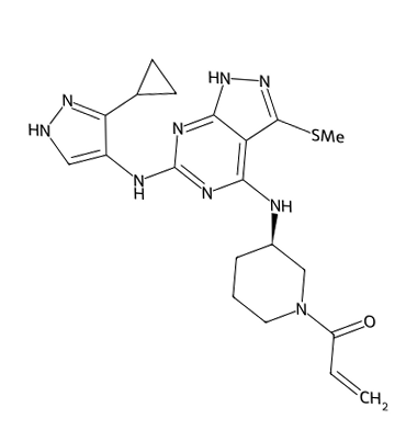 C=CC(=O)N1CCC[C@@H](Nc2nc(Nc3c[nH]nc3C3CC3)nc3[nH]nc(SC)c23)C1